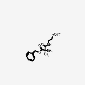 CCCCCCCCCCCCNC(=O)[C@](C)(N)C(=O)OCc1ccccc1